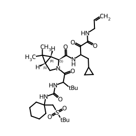 C=CCNC(=O)C(=O)C(CC1CC1)NC(=O)[C@@H]1[C@@H]2[C@H](CN1C(=O)C(NC(=O)NC1(CS(=O)(=O)C(C)(C)C)CCCCC1)C(C)(C)C)C2(C)C